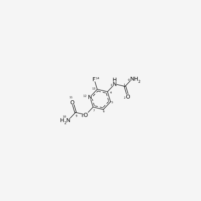 NC(=O)Nc1ccc(OC(N)=O)nc1F